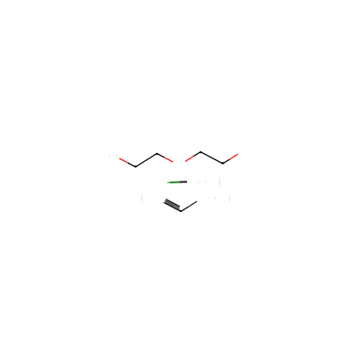 C=CC(=O)O.O=C(O)Cl.OCCOCCO